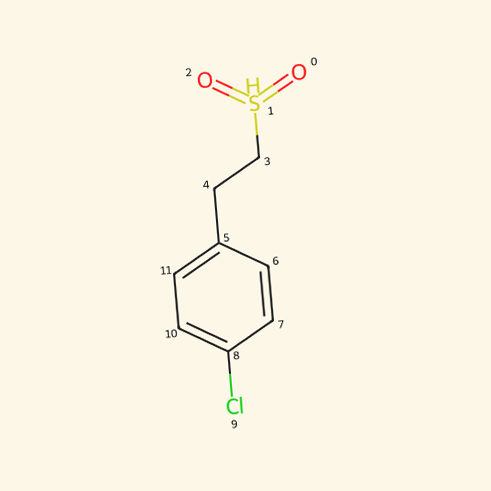 O=[SH](=O)CCc1ccc(Cl)cc1